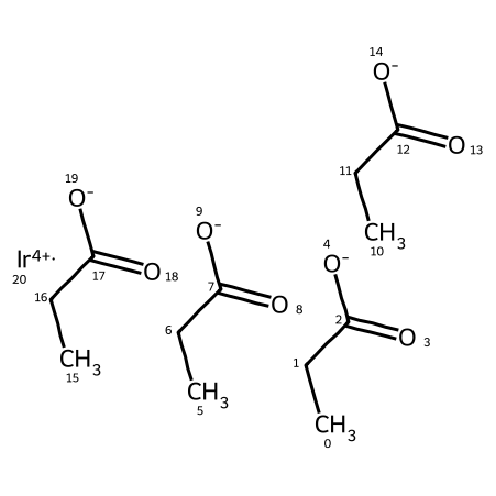 CCC(=O)[O-].CCC(=O)[O-].CCC(=O)[O-].CCC(=O)[O-].[Ir+4]